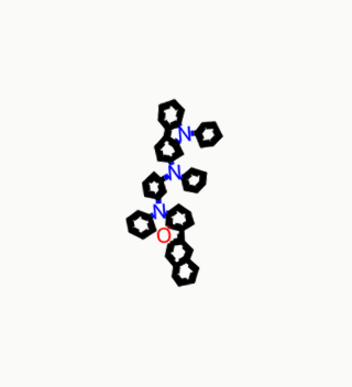 c1ccc(N(c2cccc(N(c3ccccc3)c3cccc4c3oc3cc5ccccc5cc34)c2)c2ccc3c4ccccc4n(-c4ccccc4)c3c2)cc1